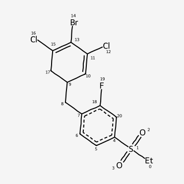 CCS(=O)(=O)c1ccc(CC2C=C(Cl)C(Br)=C(Cl)C2)c(F)c1